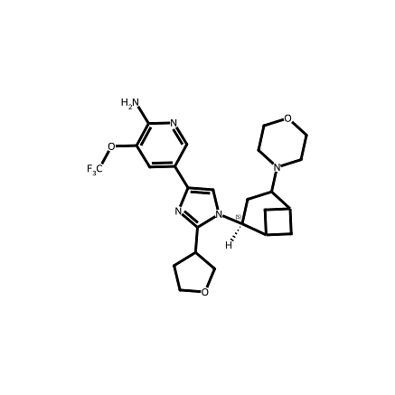 Nc1ncc(-c2cn([C@H]3CC(N4CCOCC4)C4CC3C4)c(C3CCOC3)n2)cc1OC(F)(F)F